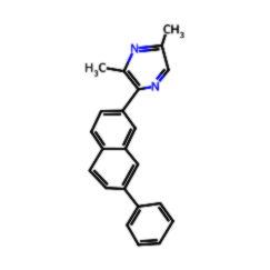 Cc1cnc(-c2ccc3ccc(-c4ccccc4)cc3c2)c(C)n1